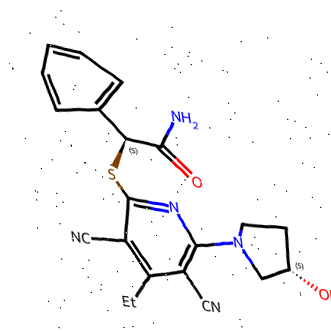 CCc1c(C#N)c(S[C@H](C(N)=O)c2ccccc2)nc(N2CC[C@H](O)C2)c1C#N